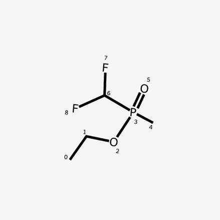 CCOP(C)(=O)C(F)F